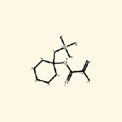 C=C(C)C(=O)OC1(C[Si](C)(C)C)CCCCC1